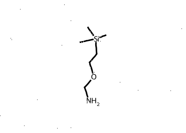 C[Si](C)(C)CCOCN